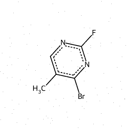 Cc1cnc(F)nc1Br